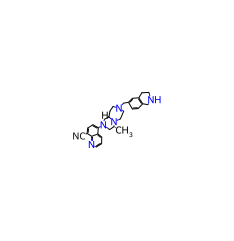 C[C@@H]1CN(c2ccc(C#N)c3ncccc23)C[C@@H]2CCN(Cc3ccc4c(c3)CCNC4)CCN21